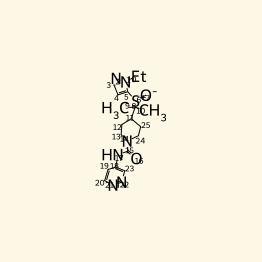 CCn1nccc1[S+]([O-])C(C)(C)C1CCN(C(=O)Nc2ccnnc2)CC1